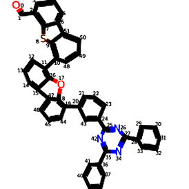 O=Cc1cccc2c1sc1c(-c3cccc4c3oc3c(-c5cccc(-c6nc(-c7ccccc7)nc(-c7ccccc7)n6)c5)cccc34)cccc12